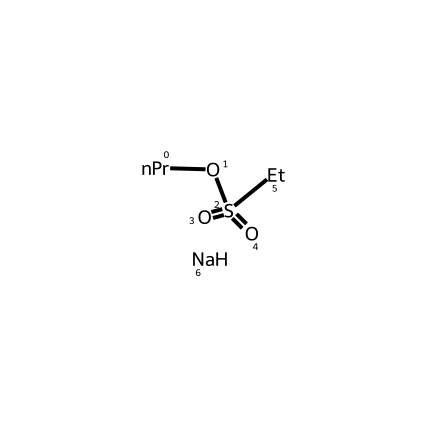 CCCOS(=O)(=O)CC.[NaH]